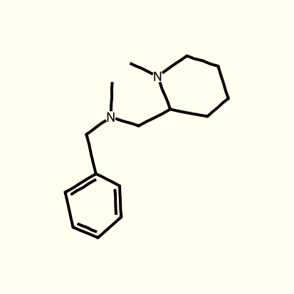 CN(Cc1ccccc1)CC1CCCCN1C